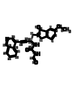 COc1ccc2c(c1)C(=O)N(C[C@@H](C#Cc1cncc3ccccc13)NC(=O)NC=O)C2